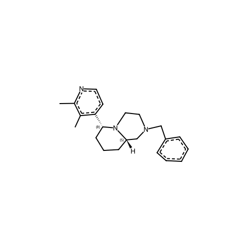 Cc1nccc([C@H]2CCC[C@H]3CN(Cc4ccccc4)CCN32)c1C